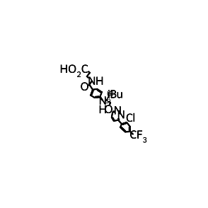 CC[C@H](C)[C@@H](COc1ccc(-c2ccc(C(F)(F)F)cc2Cl)nn1)Nc1ccc(C(=O)NCCC(=O)O)cc1